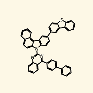 C1=C=Cc2c(ccc3c2c2cc(-c4ccc5sc6ccccc6c5c4)ccc2n3-c2nc(-c3ccc(-c4ccccc4)cc3)c3ccccc3n2)C=1